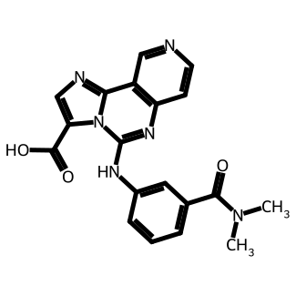 CN(C)C(=O)c1cccc(Nc2nc3ccncc3c3ncc(C(=O)O)n23)c1